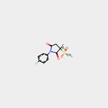 CC1(S(C)(=O)=O)CC(=O)N(c2ccc(F)cc2)C1=O